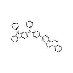 c1ccc(N(c2ccc(-c3ccc4c(ccc5c6ccccc6ccc45)c3)cc2)c2ccc3c4ccccc4n(-c4ccccc4)c3c2)cc1